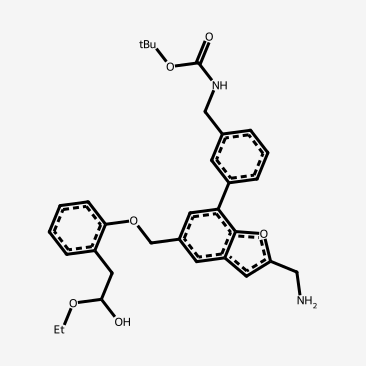 CCOC(O)Cc1ccccc1OCc1cc(-c2cccc(CNC(=O)OC(C)(C)C)c2)c2oc(CN)cc2c1